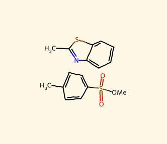 COS(=O)(=O)c1ccc(C)cc1.Cc1nc2ccccc2s1